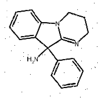 NC1(c2ccccc2)C2=NCCCN2c2ccccc21